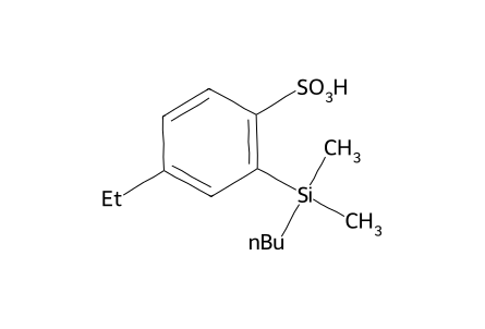 CCCC[Si](C)(C)c1cc(CC)ccc1S(=O)(=O)O